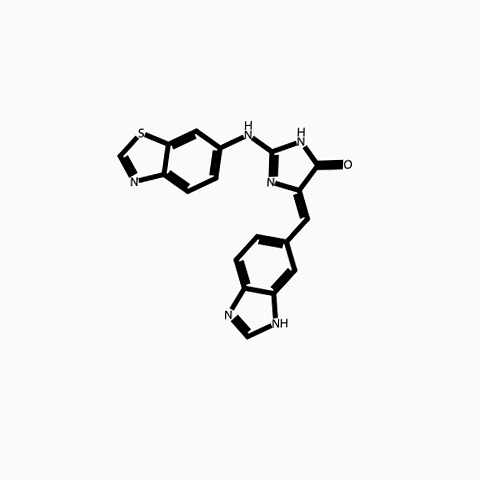 O=C1NC(Nc2ccc3ncsc3c2)=N/C1=C\c1ccc2nc[nH]c2c1